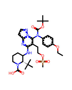 CCOc1ccc(N(C(=O)OC(C)(C)C)c2c(CCOS(C)(=O)=O)c(NC3CCCN(C(=O)O)[C@H]3C(C)(C)C)nc3ccnn23)cc1